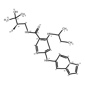 CCC(C)Nc1cc(Nc2ccn3nccc3c2)ncc1C(=O)NC[C@@H](F)C(C)(C)O